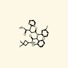 CCCC(=O)C(CC(=O)N(c1cccc(F)c1)C(C(=O)NC1CC(F)(I)C1)c1c(Cl)cccc1Cl)c1ncccn1